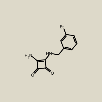 CCc1cccc(CNc2c(N)c(=O)c2=O)c1